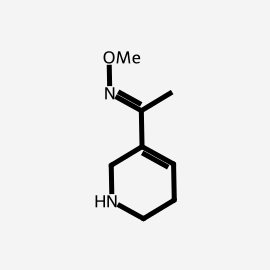 CON=C(C)C1=CCCNC1